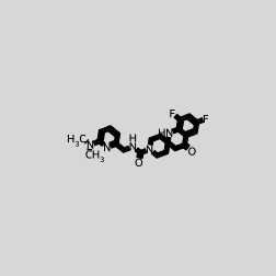 CN(C)c1cccc(CNC(=O)N2CCC3(CC2)CC(=O)c2cc(F)cc(F)c2N3)n1